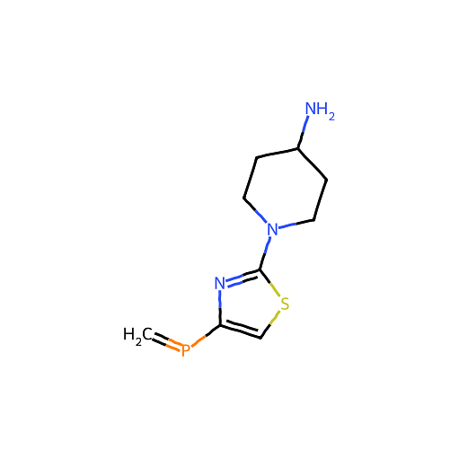 C=Pc1csc(N2CCC(N)CC2)n1